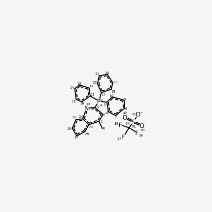 Cc1cc([P+](c2ccccc2)(c2ccccc2)c2ccccc2)nc2ccccc12.O=S(=O)([O-])C(F)(F)F